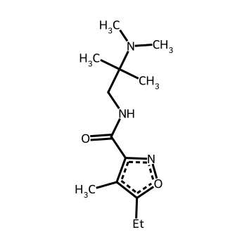 CCc1onc(C(=O)NCC(C)(C)N(C)C)c1C